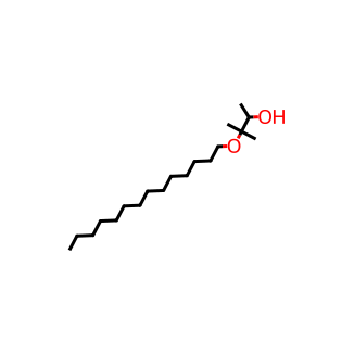 CCCCCCCCCCCCCCOC(C)(C)C(C)O